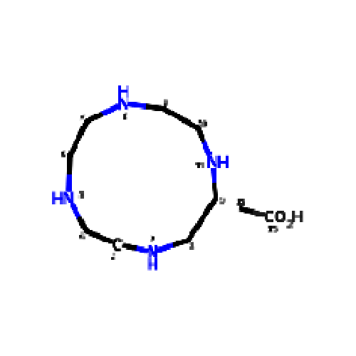 C1CNCCNCCNCCN1.CC(=O)O